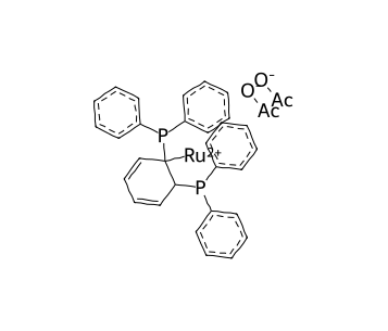 CC(=O)[O-].CC(=O)[O-].[Ru+2][C]1(P(c2ccccc2)c2ccccc2)C=CC=CC1P(c1ccccc1)c1ccccc1